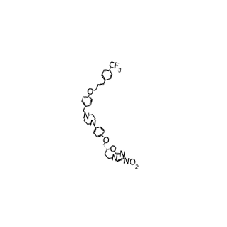 O=[N+]([O-])c1cn2c(n1)O[C@@H](COc1ccc(N3CCN(Cc4ccc(OC/C=C/c5ccc(C(F)(F)F)cc5)cc4)CC3)cc1)CC2